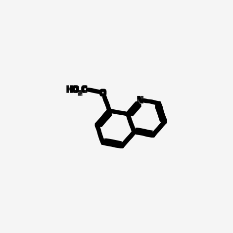 O=C(O)Oc1cccc2cccnc12